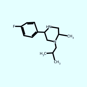 CC(C)CN1CC(c2ccc(F)cc2)NCC1C